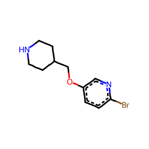 Brc1ccc(OCC2CCNCC2)cn1